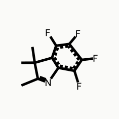 CC1=Nc2c(F)c(F)c(F)c(F)c2C1(C)C